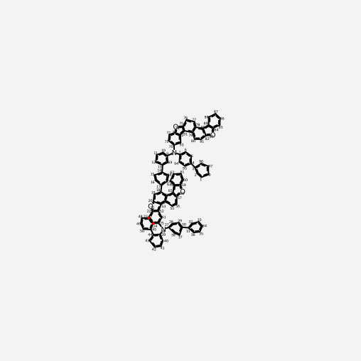 c1ccc(-c2ccc(N(c3cccc(-c4ccc(-c5cc6oc7ccc(N(c8ccc(-c9ccccc9)cc8)c8ccccc8-c8ccccc8)cc7c6c6ccc7oc8ccccc8c7c56)cc4)c3)c3ccc4oc5ccc6c(ccc7oc8ccccc8c76)c5c4c3)cc2)cc1